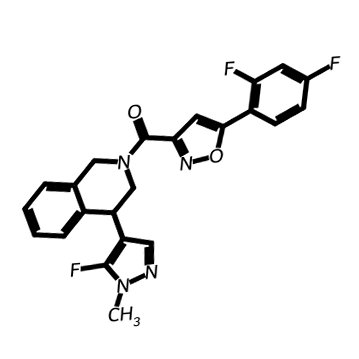 Cn1ncc(C2CN(C(=O)c3cc(-c4ccc(F)cc4F)on3)Cc3ccccc32)c1F